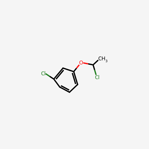 CC(Cl)Oc1cccc(Cl)c1